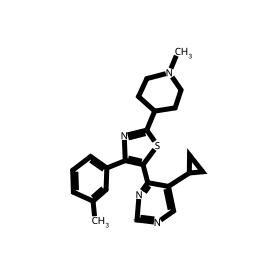 Cc1cccc(-c2nc(C3CCN(C)CC3)sc2-c2n[c]ncc2C2CC2)c1